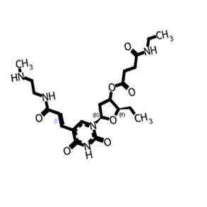 CCNC(=O)CCC(=O)OC1C[C@H](n2cc(/C=C/C(=O)NCCNC)c(=O)[nH]c2=O)O[C@@H]1CC